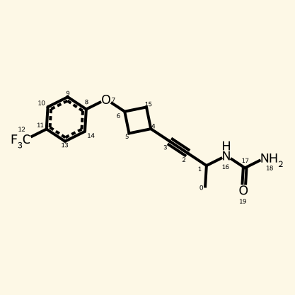 CC(C#CC1CC(Oc2ccc(C(F)(F)F)cc2)C1)NC(N)=O